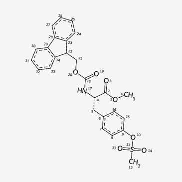 COC(=O)[C@H](Cc1ccc(OS(C)(=O)=O)cc1)NC(=O)OCC1c2ccccc2-c2ccccc21